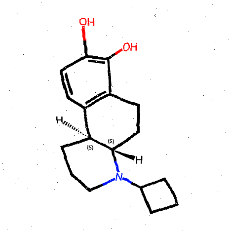 Oc1ccc2c(c1O)CC[C@H]1[C@H]2CCCN1C1CCC1